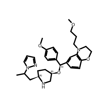 COCCCN1CCOc2ccc([C@@H](O[C@@H]3CC[C@H](CC(C)n4cccn4)NC3)c3ccc(OC)cc3)cc21